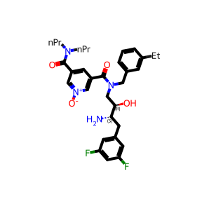 CCCN(CCC)C(=O)c1cc(C(=O)N(Cc2cccc(CC)c2)C[C@@H](O)[C@@H](N)Cc2cc(F)cc(F)c2)c[n+]([O-])c1